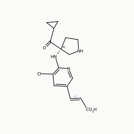 O=C(O)/C=C/c1cnc(N[C@]2(C(=O)C3CC3)CCNC2)c(Cl)c1